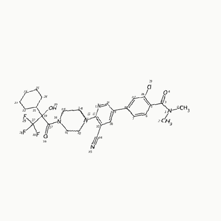 CN(C)C(=O)c1ccc(-c2cnc(N3CCN(C(=O)C(O)(C4CCCCC4)C(F)(F)F)CC3)c(C#N)c2)cc1Cl